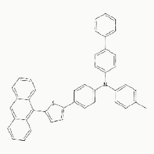 Cc1ccc(N(c2ccc(-c3ccccc3)cc2)c2ccc(-c3ccc(-c4c5ccccc5cc5ccccc45)s3)cc2)cc1